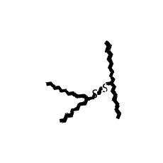 CCCCCCCCCCC(CCCCCCCC)CSCCSCC(CCCCCCCC)CCCCCCCCCC